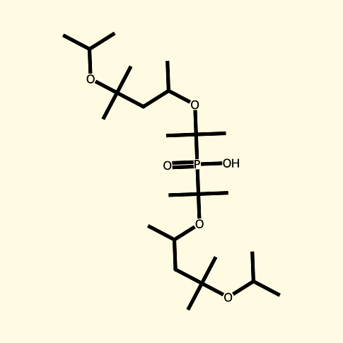 CC(C)OC(C)(C)CC(C)OC(C)(C)P(=O)(O)C(C)(C)OC(C)CC(C)(C)OC(C)C